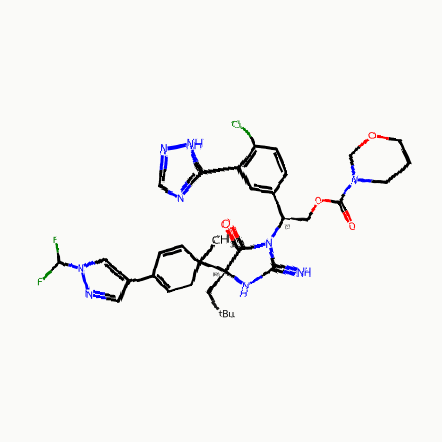 CC(C)(C)C[C@]1(C2(C)C=CC(c3cnn(C(F)F)c3)=CC2)NC(=N)N([C@H](COC(=O)N2CCCOC2)c2ccc(Cl)c(-c3ncn[nH]3)c2)C1=O